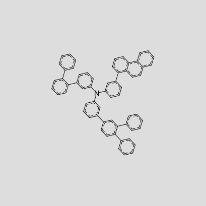 c1ccc(-c2ccccc2-c2cccc(N(c3cccc(-c4ccc(-c5ccccc5)c(-c5ccccc5)c4)c3)c3cccc(-c4cccc5c4ccc4ccccc45)c3)c2)cc1